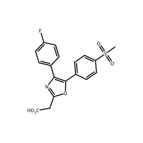 CS(=O)(=O)c1ccc(-c2oc(CC(=O)O)nc2-c2ccc(F)cc2)cc1